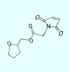 O=C(CN1C(=O)C=CC1=O)OCC1CCCO1